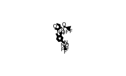 O=C(N[C@@H]1CCOC[C@H]1N1Cc2ccc(-c3noc(C(F)(F)F)n3)cc2C1=O)[C@H]1CC1(F)F